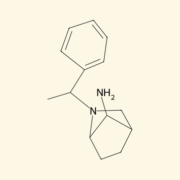 CC(c1ccccc1)N1CC2CCC1C2N